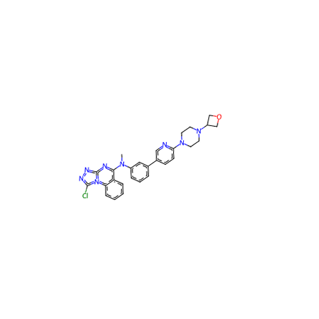 CN(c1cccc(-c2ccc(N3CCN(C4COC4)CC3)nc2)c1)c1nc2nnc(Cl)n2c2ccccc12